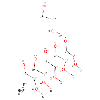 COCC[O-].COCC[O-].COCC[O-].COCC[O-].COCC[O-].COCC[O-].[K+].[Nb+5]